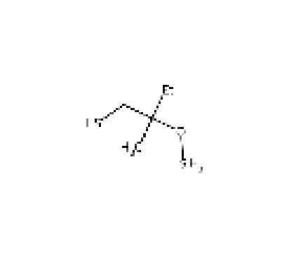 CCC(C)(CS)O[SiH3]